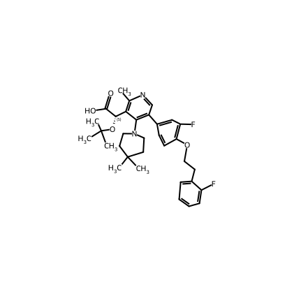 Cc1ncc(-c2ccc(OCCc3ccccc3F)c(F)c2)c(N2CCC(C)(C)CC2)c1[C@H](OC(C)(C)C)C(=O)O